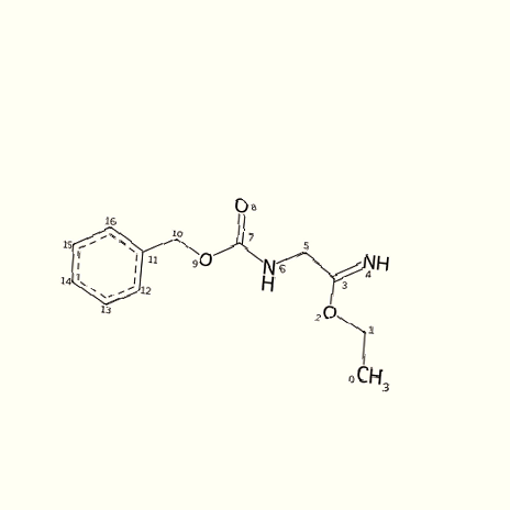 CCOC(=N)CNC(=O)OCc1ccccc1